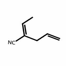 C=CCC(C#N)=CC